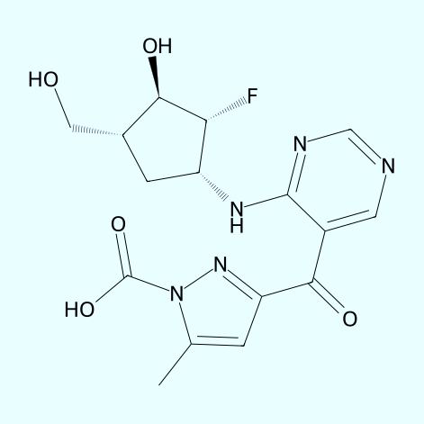 Cc1cc(C(=O)c2cncnc2N[C@@H]2C[C@H](CO)[C@@H](O)[C@@H]2F)nn1C(=O)O